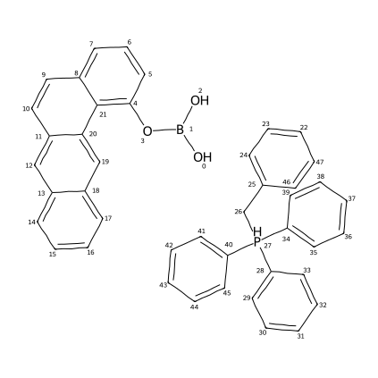 OB(O)Oc1cccc2ccc3cc4ccccc4cc3c12.c1ccc(C[PH](c2ccccc2)(c2ccccc2)c2ccccc2)cc1